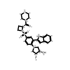 O=C([C@@H]1CCN1S(=O)(=O)c1ccc(N2C[C@@H](O)[C@H](F)C2)c(-c2cc3ccccc3[nH]2)c1)N1CCOCC1